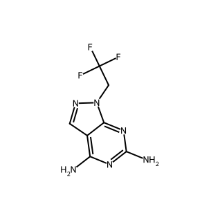 Nc1nc(N)c2cnn(CC(F)(F)F)c2n1